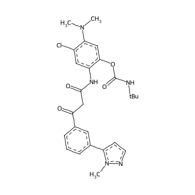 CN(C)c1cc(OC(=O)NC(C)(C)C)c(NC(=O)CC(=O)c2cccc(-c3ccnn3C)c2)cc1Cl